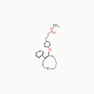 COC(=O)CCCc1ccc(OC/C2=C(\c3ccccc3)CCCCCCCCCC2)cc1